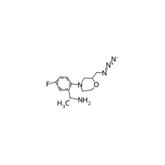 C[C@@H](N)c1cc(F)ccc1N1CCOC(CN=[N+]=[N-])C1